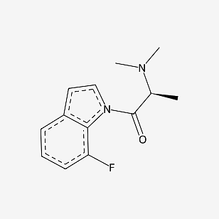 C[C@@H](C(=O)n1ccc2cccc(F)c21)N(C)C